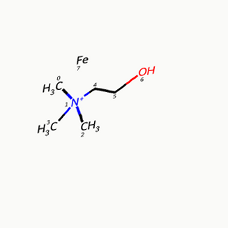 C[N+](C)(C)CCO.[Fe]